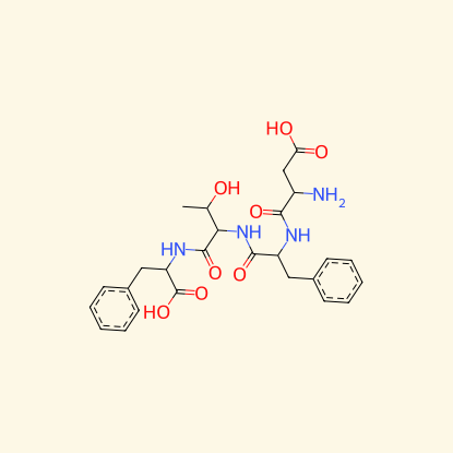 CC(O)C(NC(=O)C(Cc1ccccc1)NC(=O)C(N)CC(=O)O)C(=O)NC(Cc1ccccc1)C(=O)O